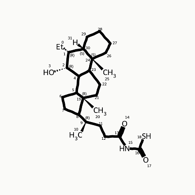 CC[C@H]1[C@@H](O)C2C3CCC([C@H](C)CCC(=O)NC(=O)S)[C@@]3(C)CCC2[C@@]2(C)CCCC[C@@H]12